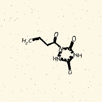 C=CCC(=O)n1[nH]c(=O)[nH]c1=O